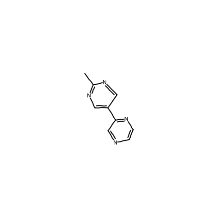 Cc1ncc(-c2cnccn2)cn1